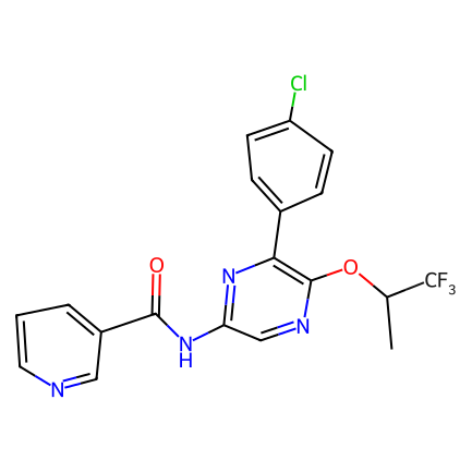 CC(Oc1ncc(NC(=O)c2cccnc2)nc1-c1ccc(Cl)cc1)C(F)(F)F